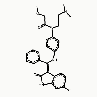 COCC(=O)N(CCN(C)C)c1ccc(NC(=C2C(=O)Nc3cc(F)ccc32)c2ccccc2)cc1